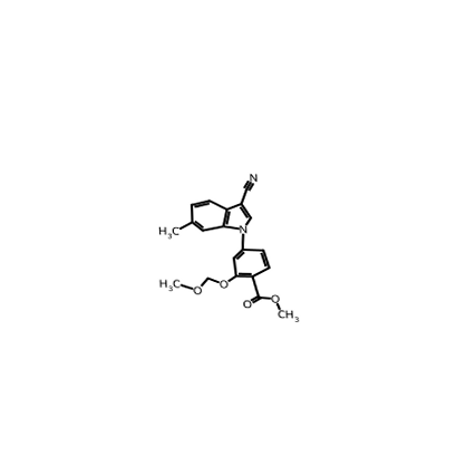 COCOc1cc(-n2cc(C#N)c3ccc(C)cc32)ccc1C(=O)OC